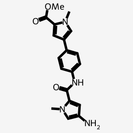 COC(=O)c1cc(-c2ccc(NC(=O)c3cc(N)cn3C)cc2)cn1C